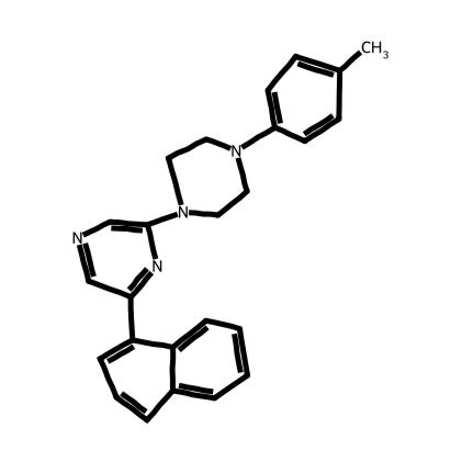 Cc1ccc(N2CCN(c3cncc(-c4cccc5ccccc45)n3)CC2)cc1